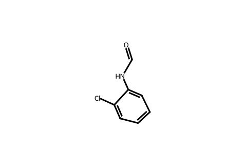 O=CNc1ccccc1Cl